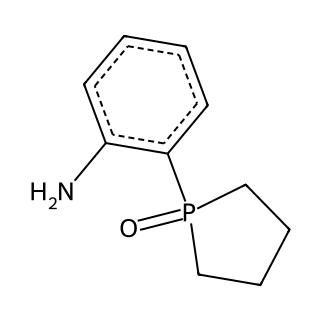 Nc1ccccc1P1(=O)CCCC1